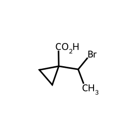 CC(Br)C1(C(=O)O)CC1